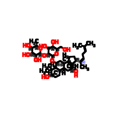 CC(C)=CC/C=C(/C)[C@H]1CC[C@]2(C)[C@@H]1[C@H](O)C[C@@H]1[C@@]3(C)CC[C@H](O)C(C)(C)[C@@H]3[C@@H](O[C@@H]3O[C@H](CO)[C@@H](O)[C@H](O)[C@H]3O[C@H]3O[C@@H](C)[C@H](O)[C@@H](O)[C@@H]3O)C[C@]12C